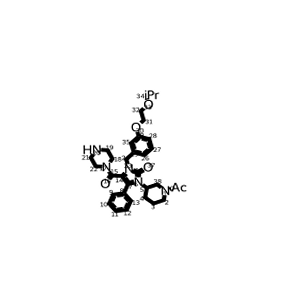 CC(=O)N1CCCC(n2c(-c3ccccc3)c(C(=O)N3CCNCC3)n(Cc3cccc(OCCOC(C)C)c3)c2=O)C1